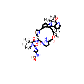 CCn1c(-c2cccnc2[C@H](C)OC)c2c3cc(ccc31)-c1csc(n1)C[C@H](NC(=O)[C@H](C(C)C)N(C)C(=O)N1CC(N[SH]=O)C1)C(=O)N1CCC[C@H](N1)C(=O)OCC(C)(C)C2